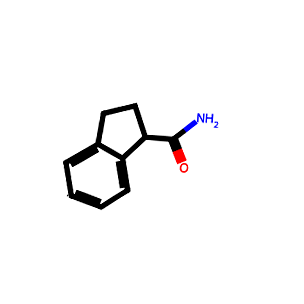 NC(=O)C1CCc2c[c]ccc21